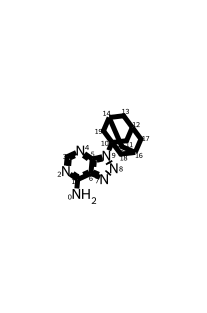 Nc1ncnc2c1nnn2C12CC3CC(CC(C3)C1)C2